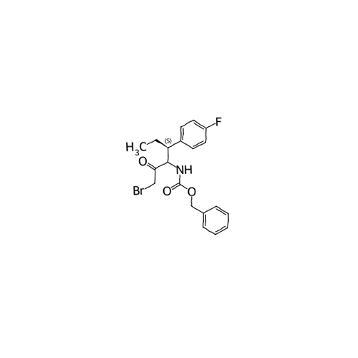 CC[C@@H](c1ccc(F)cc1)C(NC(=O)OCc1ccccc1)C(=O)CBr